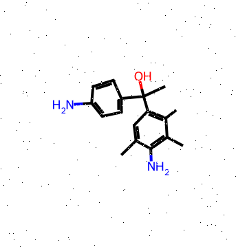 Cc1cc(C(C)(O)c2ccc(N)cc2)c(C)c(C)c1N